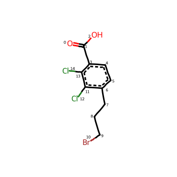 O=C(O)c1ccc(CCCBr)c(Cl)c1Cl